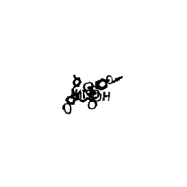 CC#CCOc1ccc(S(=O)(=O)NC(Cc2c(C)n(Cc3cccc(C)c3)c3ccc(OC)cc23)C(=O)O)cc1